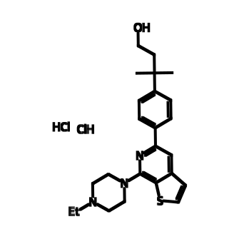 CCN1CCN(c2nc(-c3ccc(C(C)(C)CCO)cc3)cc3ccsc23)CC1.Cl.Cl